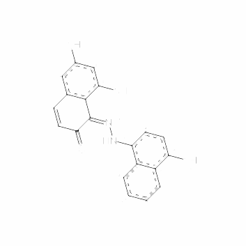 O=C1C=Cc2cc(S)cc(S)c2/C1=N/Nc1ccc(S)c2ccccc12